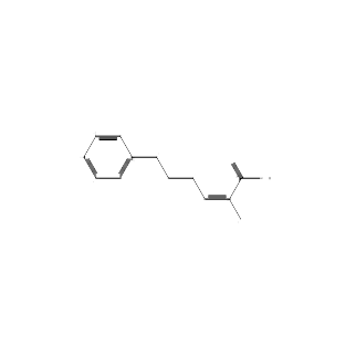 CC(=CCCCc1ccccc1)C(=O)O